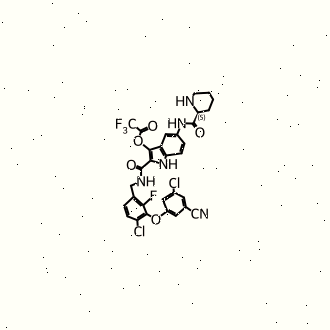 N#Cc1cc(Cl)cc(Oc2c(Cl)ccc(CNC(=O)c3[nH]c4ccc(NC(=O)[C@@H]5CCCCN5)cc4c3OC(=O)C(F)(F)F)c2F)c1